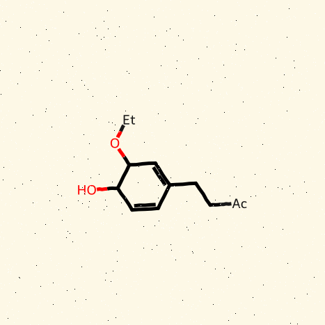 CCOC1C=C(CCC(C)=O)C=CC1O